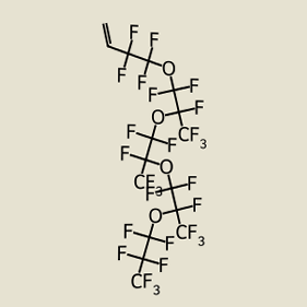 C=CC(F)(F)C(F)(F)OC(F)(F)C(F)(OC(F)(F)C(F)(OC(F)(F)C(F)(OC(F)(F)C(F)(F)C(F)(F)F)C(F)(F)F)C(F)(F)F)C(F)(F)F